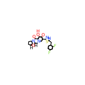 O=C1c2c(O)c(=O)c(-c3nnc(Cc4ccc(F)cc4F)s3)cn2C[C@H]2O[C@@H]3CCC(C3)N12